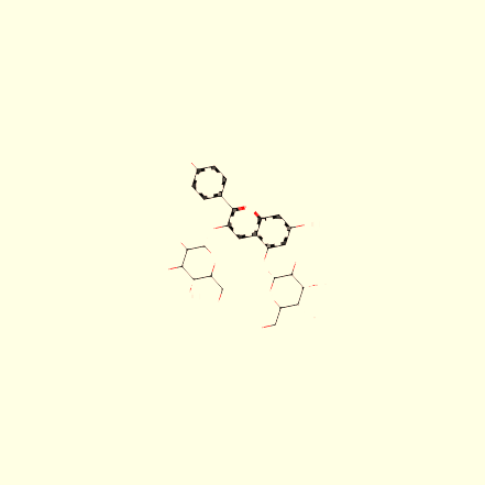 OCC1O[C@@H](Oc2cc3c(O[C@@H]4OC(CO)[C@@H](O)[C@H](O)C4O)cc(O)cc3[o+]c2-c2ccc(O)cc2)C(O)C(O)[C@@H]1O